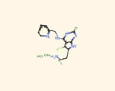 C[C@H](N)Cc1[nH]c2nc(Cl)nc(NCc3ccccn3)c2c1F.Cl.Cl